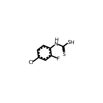 Fc1cc(Cl)ccc1NC(=S)S